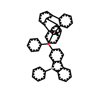 c1ccc(N(c2ccc3c(c2)-c2cccc4c2-c2ccccc2-c2cccc-4c2-3)c2ccc3c4ccccc4n(-c4ccccc4)c3c2)cc1